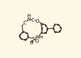 O=S1(=O)Nc2cc(cc(-c3ccccc3)c2)OCNCCc2cccc1c2